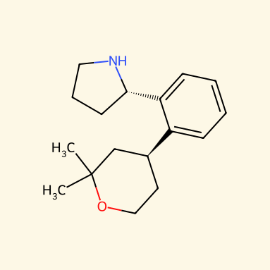 CC1(C)C[C@@H](c2ccccc2[C@@H]2CCCN2)CCO1